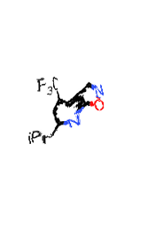 CC(C)c1cc(C(F)(F)F)c2cnoc2n1